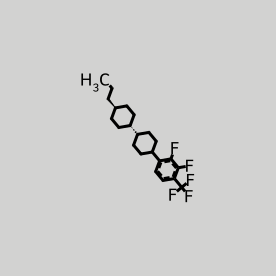 CCC[C@H]1CC[C@H](C2CCC(c3ccc(C(F)(F)F)c(F)c3F)CC2)CC1